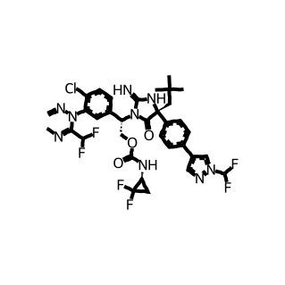 C=NN(/C(=N\C)C(F)F)c1cc([C@@H](COC(=O)N[C@@H]2CC2(F)F)N2C(=N)N[C@](CC(C)(C)C)(c3ccc(-c4cnn(C(F)F)c4)cc3)C2=O)ccc1Cl